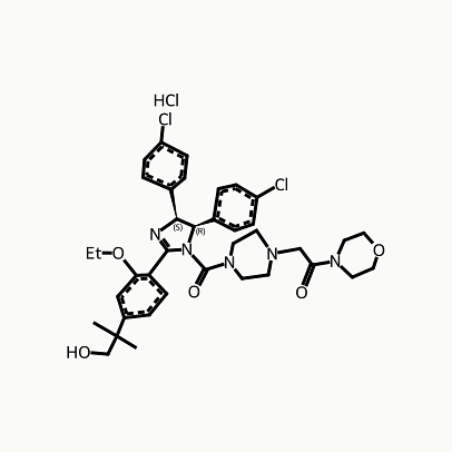 CCOc1cc(C(C)(C)CO)ccc1C1=N[C@@H](c2ccc(Cl)cc2)[C@@H](c2ccc(Cl)cc2)N1C(=O)N1CCN(CC(=O)N2CCOCC2)CC1.Cl